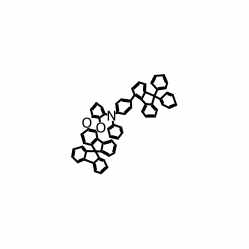 c1ccc(N(c2ccc(-c3cccc4c3-c3ccccc3C4(c3ccccc3)c3ccccc3)cc2)c2cccc3c2Oc2c(ccc4c2-c2ccccc2C42c4ccccc4-c4ccccc42)O3)cc1